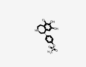 CS(=O)(=O)Oc1ccc([C@@H]2CNCCc3c2cc(O)c(O)c3Cl)cc1